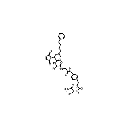 CC(C)C(NC(=O)C(CN(C)CCCCc1ccccc1)N1C(=O)C=CC1=O)C(=O)NCC(=O)Nc1ccc(COC(=O)N(C)C(C(N)=O)C(C)C)cc1